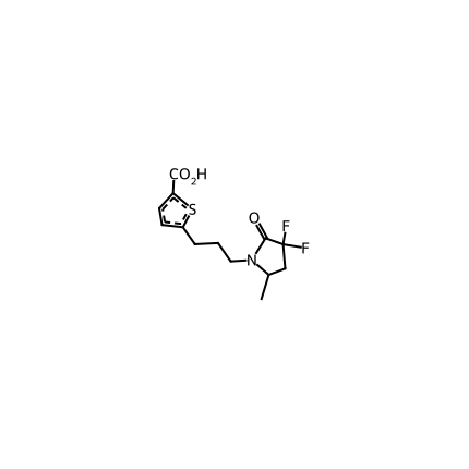 CC1CC(F)(F)C(=O)N1CCCc1ccc(C(=O)O)s1